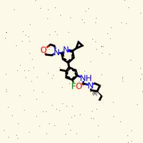 CC[C@@H]1CCN(C(=O)Nc2cc(-c3cc(C4CC4)nc(N4CCOCC4)c3)c(C)cc2F)C1